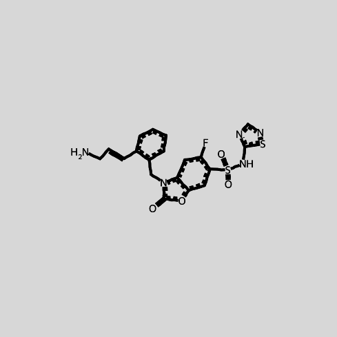 NCC=Cc1ccccc1Cn1c(=O)oc2cc(S(=O)(=O)Nc3ncns3)c(F)cc21